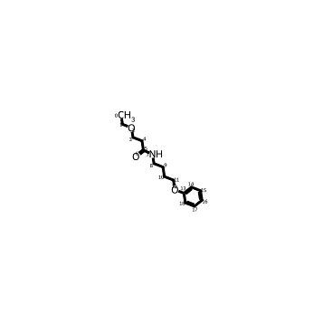 CCOCCC(=O)NCCCCOc1ccccc1